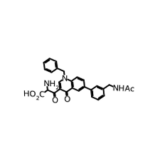 CC(=O)NCc1cccc(-c2ccc3c(c2)c(=O)c(C(=O)C(N)C(=O)O)cn3Cc2ccccc2)c1